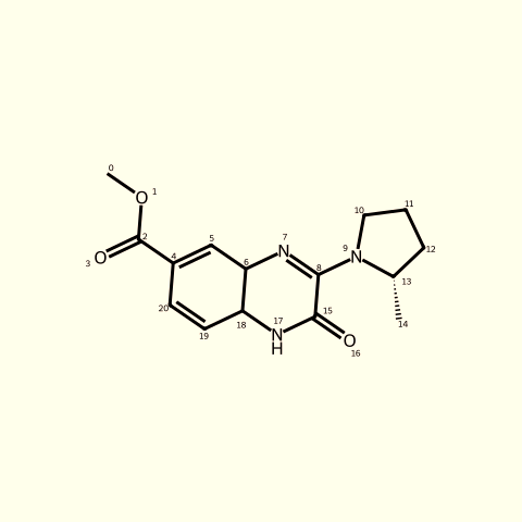 COC(=O)C1=CC2N=C(N3CCC[C@@H]3C)C(=O)NC2C=C1